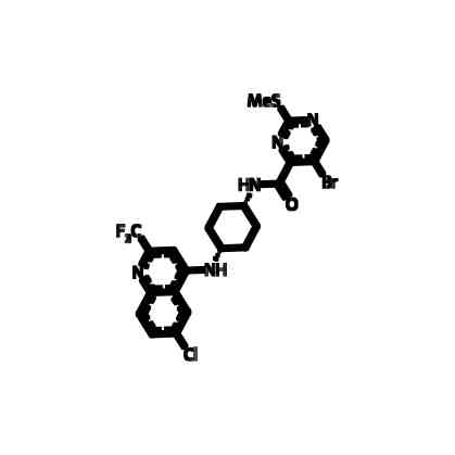 CSc1ncc(Br)c(C(=O)N[C@H]2CC[C@@H](Nc3cc(C(F)(F)F)nc4ccc(Cl)cc34)CC2)n1